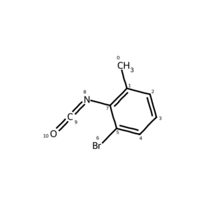 Cc1cccc(Br)c1N=C=O